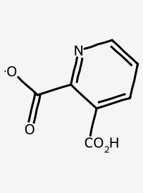 [O]C(=O)c1ncccc1C(=O)O